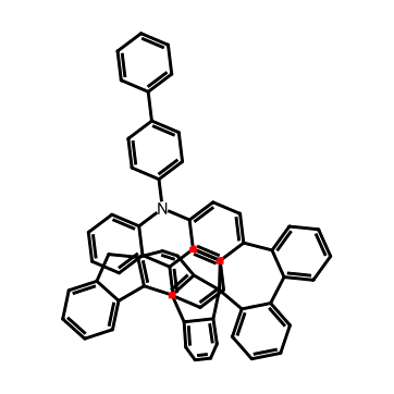 c1ccc(-c2ccc(N(c3ccc4c(c3)C3(c5ccccc5-c5ccccc5-4)c4ccccc4-c4c3ccc3c4-c4ccccc4C3)c3ccccc3-c3ccccc3)cc2)cc1